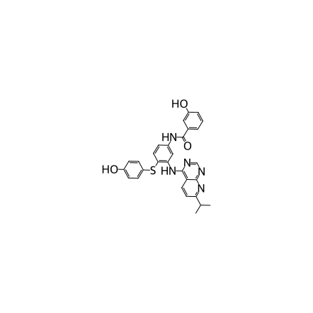 CC(C)c1ccc2c(Nc3cc(NC(=O)c4cccc(O)c4)ccc3Sc3ccc(O)cc3)ncnc2n1